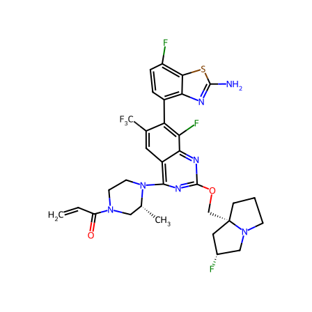 C=CC(=O)N1CCN(c2nc(OC[C@]34CCCN3C[C@H](F)C4)nc3c(F)c(-c4ccc(F)c5sc(N)nc45)c(C(F)(F)F)cc23)[C@H](C)C1